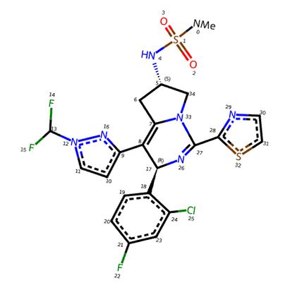 CNS(=O)(=O)N[C@H]1CC2=C(c3ccn(C(F)F)n3)[C@H](c3ccc(F)cc3Cl)N=C(c3nccs3)N2C1